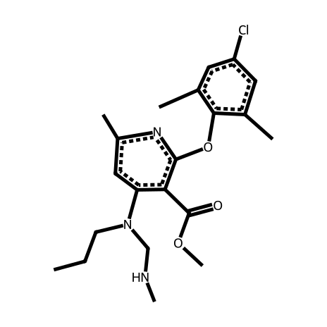 CCCN(CNC)c1cc(C)nc(Oc2c(C)cc(Cl)cc2C)c1C(=O)OC